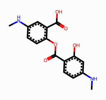 CNc1ccc(C(=O)Oc2ccc(NC)cc2C(=O)O)c(O)c1